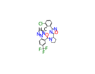 Cc1c(Cl)cccc1-c1noc(C2CCCN2C(=O)c2cc(C(F)(F)F)ccc2-n2nccn2)n1